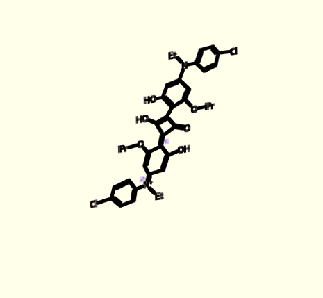 CCN(c1ccc(Cl)cc1)c1cc(O)c(C2=C(O)/C(=C3C(O)=C/C(=[N+](\CC)c4ccc(Cl)cc4)C=C/3OC(C)C)C2=O)c(OC(C)C)c1